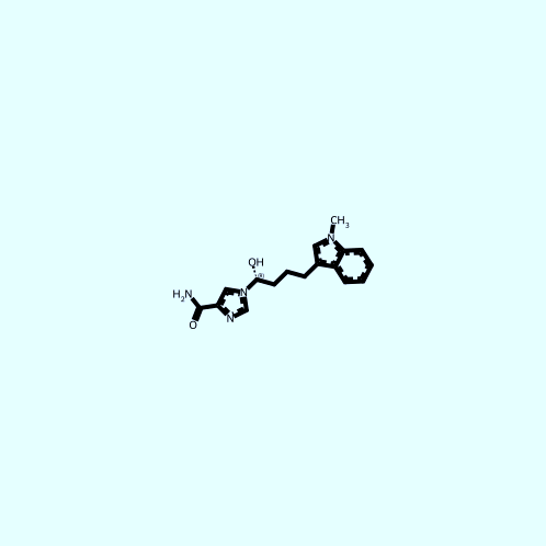 Cn1cc(CCC[C@@H](O)n2cnc(C(N)=O)c2)c2ccccc21